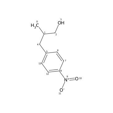 CC(CO)Cc1ccc([N+](=O)[O-])cc1